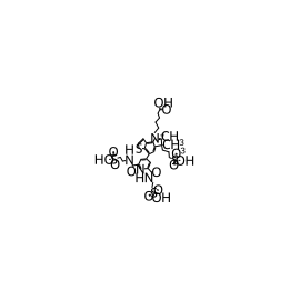 CC1=[N+](CCCCCC(=O)O)c2c(cc(-c3cc(C(=O)NCCS(=O)(=O)O)nc(C(=O)NCCS(=O)(=O)O)c3)c3sccc23)C1(C)CCCS(=O)(=O)O